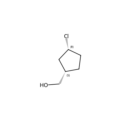 OC[C@H]1CC[C@@H](Cl)C1